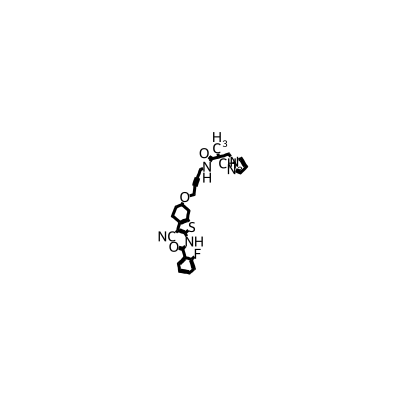 CC(C)(Cn1cccn1)C(=O)NCC#CCOC1CCc2c(sc(NC(=O)c3ccccc3F)c2C#N)C1